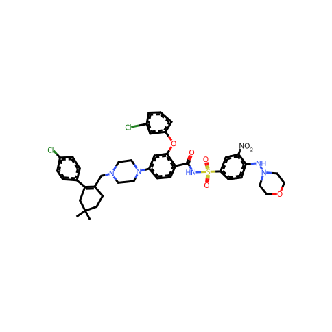 CC1(C)CCC(CN2CCN(c3ccc(C(=O)NS(=O)(=O)c4ccc(NN5CCOCC5)c([N+](=O)[O-])c4)c(Oc4cccc(Cl)c4)c3)CC2)=C(c2ccc(Cl)cc2)C1